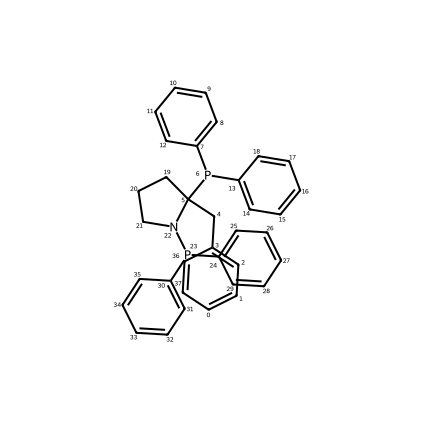 c1ccc(CC2(P(c3ccccc3)c3ccccc3)CCCN2P(c2ccccc2)c2ccccc2)cc1